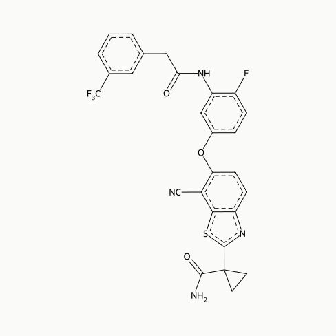 N#Cc1c(Oc2ccc(F)c(NC(=O)Cc3cccc(C(F)(F)F)c3)c2)ccc2nc(C3(C(N)=O)CC3)sc12